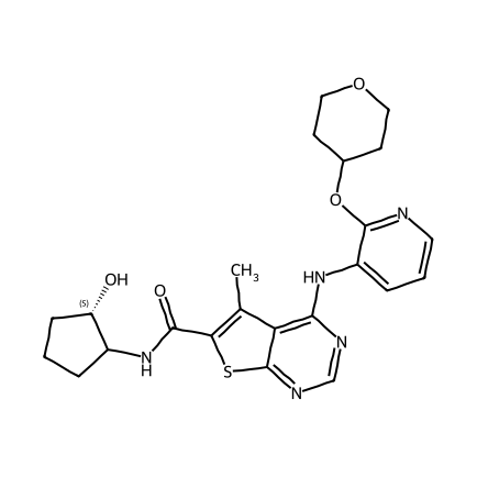 Cc1c(C(=O)NC2CCC[C@@H]2O)sc2ncnc(Nc3cccnc3OC3CCOCC3)c12